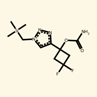 C[Si](C)(C)Cn1cc(C2(OC(N)=O)CC(F)(F)C2)nn1